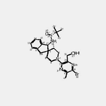 Cc1nc(N2CCC3(CC2)Cc2ccccc2[C@H]3N[S+]([O-])C(C)(C)C)c(CO)nc1Br